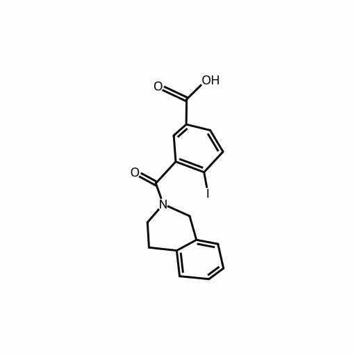 O=C(O)c1ccc(I)c(C(=O)N2CCc3ccccc3C2)c1